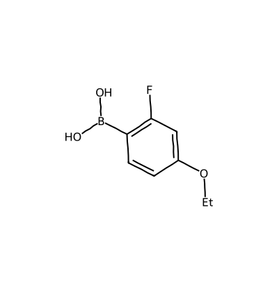 CCOc1ccc(B(O)O)c(F)c1